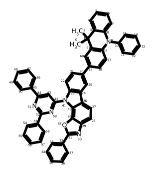 CC1(C)c2ccccc2N(c2ccccc2)c2ccc(-c3ccc4c(c3)c3ccc5nc(-c6ccccc6)oc5c3n4-c3cc(-c4ccccc4)nc(-c4ccccc4)n3)cc21